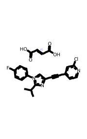 CC(C)c1nc(C#Cc2ccnc(Cl)c2)cn1-c1ccc(F)cc1.O=C(O)/C=C/C(=O)O